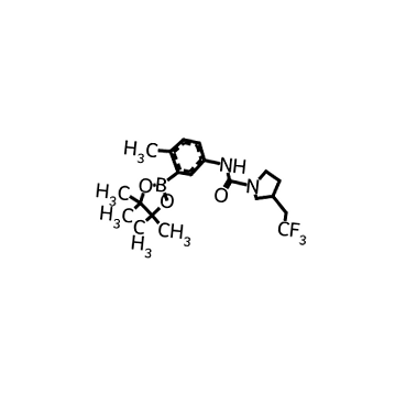 Cc1ccc(NC(=O)N2CCC(CC(F)(F)F)C2)cc1B1OC(C)(C)C(C)(C)O1